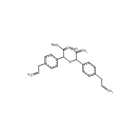 C=CCc1ccc(C(OC(C(=C)OC)c2ccc(CC=C)cc2)C(=C)OC)cc1